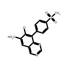 CS(=O)(=O)c1ccc(-c2c(Cl)c(C(=O)O)cc3cncnc23)cc1